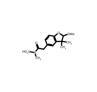 COC1Oc2ccc(CC(=O)N(C)S(=O)(=O)O)cc2C1(C)C